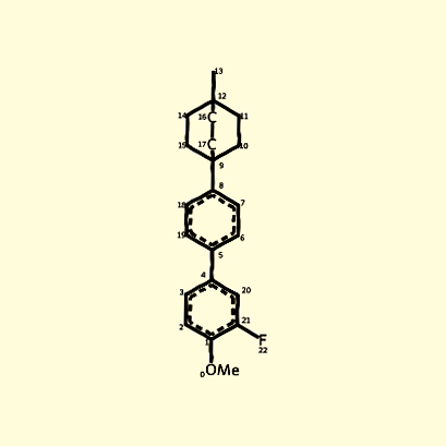 COc1ccc(-c2ccc(C34CCC(C)(CC3)CC4)cc2)cc1F